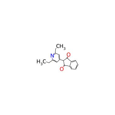 CCc1cc(C2C(=O)c3ccccc3C2=O)cc(CC)n1